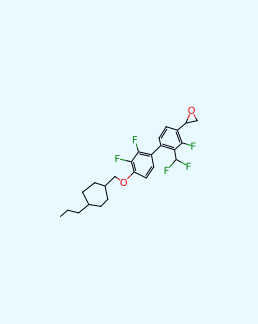 CCCC1CCC(COc2ccc(-c3ccc(C4CO4)c(F)c3C(F)F)c(F)c2F)CC1